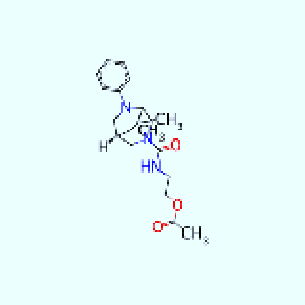 CC(=O)OCCNC(=O)N1CC2N(c3ccccc3)C[C@@H](C1)CC2(C)C